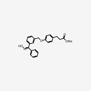 COC(=O)CCc1ccc(OCc2cccc(/C(=N\O)c3ccccc3)c2)cc1